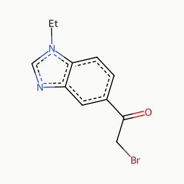 CCn1cnc2cc(C(=O)CBr)ccc21